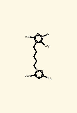 CCn1nc(C)c(CCCCCn2nc(C)cc2C=O)c1C(=O)O